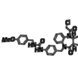 COc1ccc(CNC(=O)Nc2ccc(CN3C(=O)[C@H]4CCC[C@H]4N(C(=O)CCl)c4ccccc43)cc2)cc1